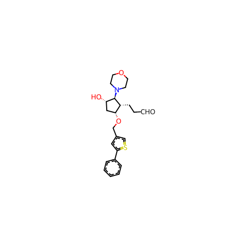 O=CCC[C@H]1[C@H](N2CCOCC2)[C@@H](O)C[C@H]1OCc1csc(-c2ccccc2)c1